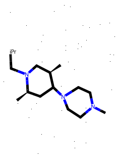 CC(C)CN1C[C@@H](C)C(N2CCN(C)CC2)C[C@H]1C